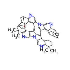 CC1(C)CCCc2c1ncc1c2c2c3c4c5c(ncc4n4c6cnc7c(c6c(c6c8c9c(ncc8n1c26)C(C)(C)CCC9)c34)C1CC2CC3CC7CC321)C1CC2CC(C1)C5C2